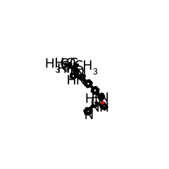 COC(=O)NC(C(=O)N1CCC[C@H]1c1ncc(-c2ccc(-c3ccc(-c4cnc([C@H]5C6CCC(C6)[C@@H]5C(=O)NCc5cccnc5)[nH]4)cc3)cc2)[nH]1)C(C)C